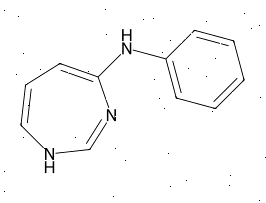 C1=CNC=NC(Nc2ccccc2)=C1